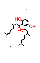 CC(C)=CCCC(C)CC(=O)c1c(O)ccc(O)c1C(=O)CC(C)CCC=C(C)C